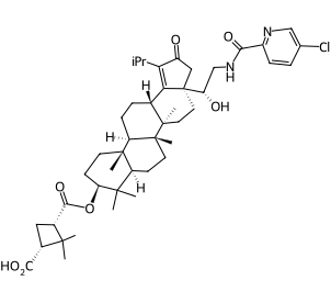 CC(C)C1=C2[C@H]3CC[C@@H]4[C@@]5(C)CC[C@H](OC(=O)[C@H]6C[C@@H](C(=O)O)C6(C)C)C(C)(C)[C@@H]5CC[C@@]4(C)[C@]3(C)CC[C@@]2([C@@H](O)CNC(=O)c2ccc(Cl)cn2)CC1=O